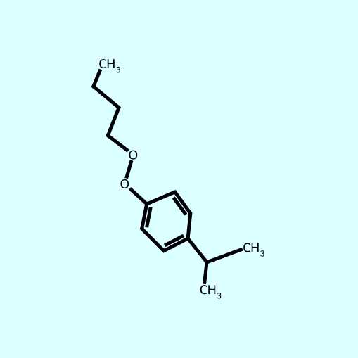 CCCCOOc1ccc(C(C)C)cc1